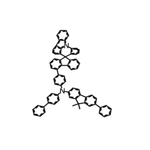 CC1(C)c2cc(-c3ccccc3)ccc2-c2ccc(N(c3ccc(-c4ccccc4)cc3)c3ccc(-c4cccc5c4-c4ccccc4C54c5ccccc5-n5c6ccccc6c6cccc4c65)cc3)cc21